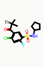 CCC(C)(C)C(=O)c1cc(S(=O)(=O)NC2CCCC2)c(F)cc1Cl